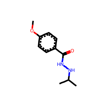 COc1ccc(C(=O)NNC(C)C)cc1